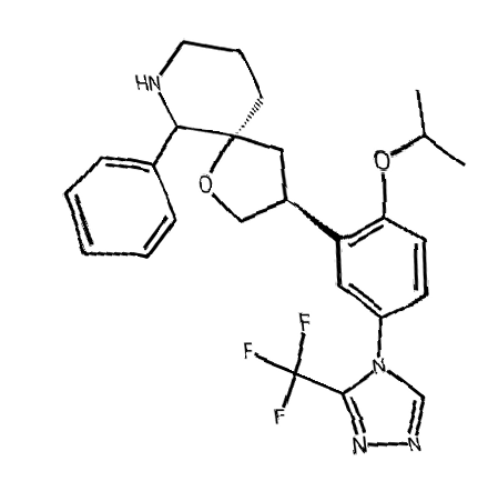 CC(C)Oc1ccc(-n2cnnc2C(F)(F)F)cc1[C@H]1CO[C@]2(CCCNC2c2ccccc2)C1